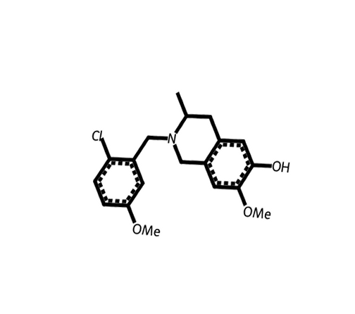 COc1ccc(Cl)c(CN2Cc3cc(OC)c(O)cc3CC2C)c1